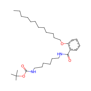 CCCCCCCCCCCCOc1ccccc1C(=O)NCCCCCCNC(=O)OC(C)(C)C